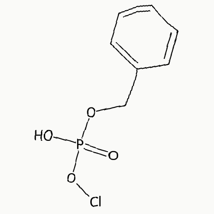 O=P(O)(OCl)OCc1ccccc1